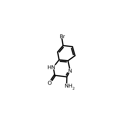 Nc1nc2ccc(Br)cc2[nH]c1=O